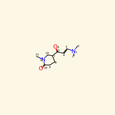 CN(C)C=CC(=O)C1CCC(=O)N(C)C1